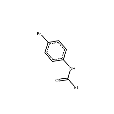 CCC(=O)Nc1ccc(Br)cc1